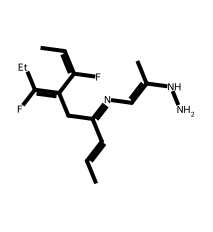 C/C=C/C(CC(/C(F)=C\C)=C(\F)CC)=N\C=C(/C)NN